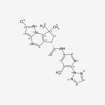 Cc1cc(NC(=O)[C@H]2CC(C)(C)c3c2cnc2cc(Cl)nn32)cnc1-n1nccn1